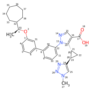 C[C@H](Oc1cccc(-c2cccc(-n3ncc(C(=O)O)c3[C@@H]3C[C@H]3c3cn(C)nn3)c2)c1)C1CCCCCC1